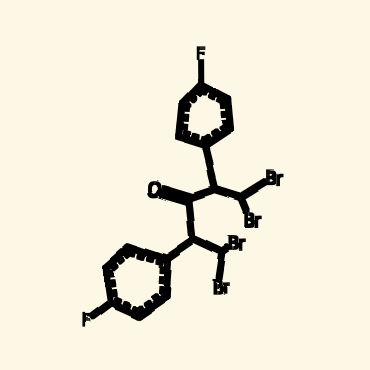 O=C(C(c1ccc(F)cc1)C(Br)Br)C(c1ccc(F)cc1)C(Br)Br